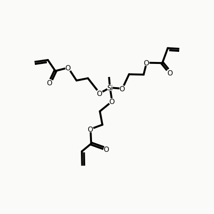 C=CC(=O)OCCO[Si](C)(OCCOC(=O)C=C)OCCOC(=O)C=C